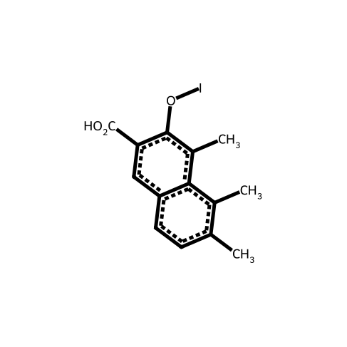 Cc1ccc2cc(C(=O)O)c(OI)c(C)c2c1C